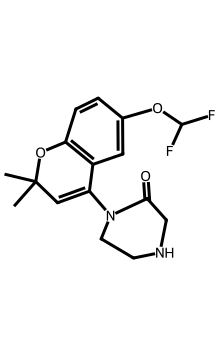 CC1(C)C=C(N2CCNCC2=O)c2cc(OC(F)F)ccc2O1